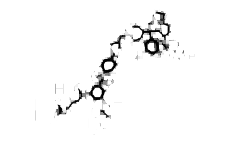 C=CC(=O)Nc1cc(N(C)CCCN(C)C)cc(S(=O)(=O)c2ccc(N3CC(CN4CCC([C@@](CN5CCC5)(c5cccc(F)c5)[C@H]5CCC[C@@H]5NC(=O)OC)CC4)C3)cc2)c1